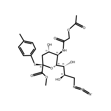 COC(=O)[C@]1(Sc2ccc(C)cc2)C[C@H](O)[C@@H](NC(=O)COC(C)=O)[C@H]([C@H](O)[C@H](O)CN=[N+]=[N-])O1